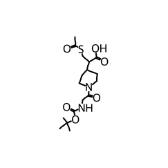 CC(=O)SCC(C(=O)O)C1CCN(C(=O)CNC(=O)OC(C)(C)C)CC1